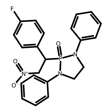 O=[N+]([O-])CC(c1ccc(F)cc1)P1(=O)N(c2ccccc2)CCN1c1ccccc1